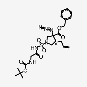 C=CC[C@H]1CN(S(=O)(=O)NC(=O)CNC(=O)OC(C)(C)C)CC1(N=[N+]=[N-])C(=O)OCc1ccccc1